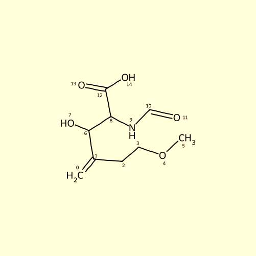 C=C(CCOC)C(O)C(NC=O)C(=O)O